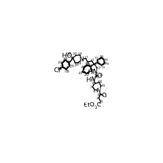 CCOC(=O)CCC(=O)N1CCC(NC(=O)NCC(CCCN2CCC(O)(c3ccc(Cl)cc3)CC2)(c2ccccc2)c2ccccc2)CC1